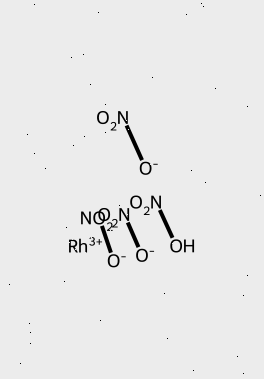 O=[N+]([O-])O.O=[N+]([O-])[O-].O=[N+]([O-])[O-].O=[N+]([O-])[O-].[Rh+3]